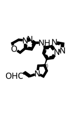 O=CC=CN1CC[C@H](c2cc(Nc3cc4n(n3)CCOC4)c3ncnn3c2)C1